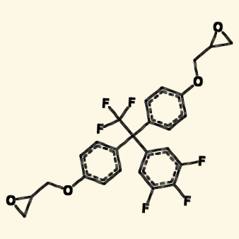 Fc1cc(C(c2ccc(OCC3CO3)cc2)(c2ccc(OCC3CO3)cc2)C(F)(F)F)cc(F)c1F